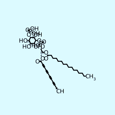 C#CC#CC#CC#CC#CC(=O)OC[C@H](COP(=O)(O)OC1C(O)[C@H](O)[C@H](O)C(OP(=O)(O)O)[C@@H]1O)OC(=O)CCCCCCCCCCCCCCC